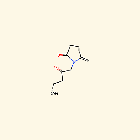 C=C1CCC(=O)N1CC(=O)CCSC